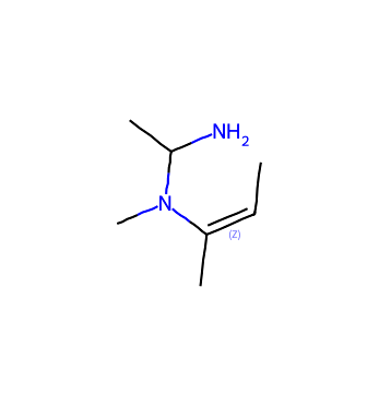 C/C=C(/C)N(C)C(C)N